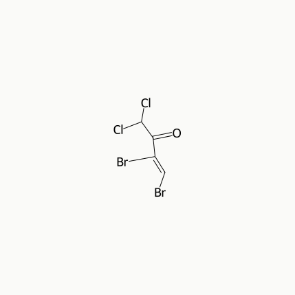 O=C(C(Br)=CBr)C(Cl)Cl